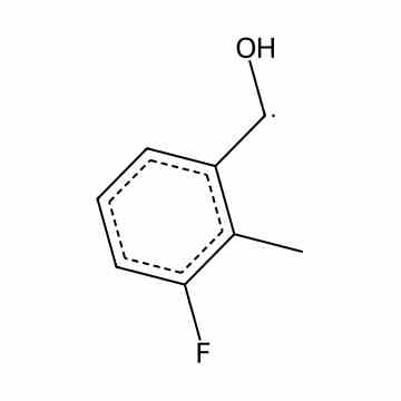 Cc1c(F)cccc1[CH]O